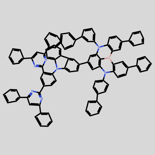 c1ccc(-c2ccc(N3c4ccc(-c5ccccc5)cc4B4c5cc(-c6ccccc6)ccc5N(c5cccc(-c6ccccc6)c5)c5cc(-c6ccc7c(c6)c6ccccc6n7-c6ccc(-c7nc(-c8ccccc8)cc(-c8ccccc8)n7)cc6-c6nc(-c7ccccc7)cc(-c7ccccc7)n6)cc3c54)cc2)cc1